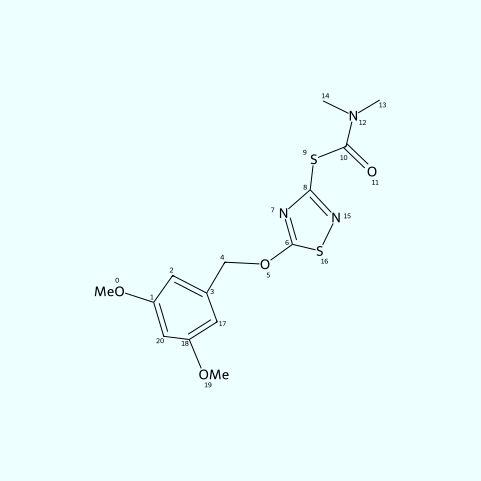 COc1cc(COc2nc(SC(=O)N(C)C)ns2)cc(OC)c1